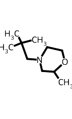 CC1CN(CC(C)(C)C)CCO1